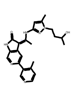 C/C(Nc1cc(C)n(CCC(C)O)n1)=C1/C(=O)Nc2cnc(-c3cnccc3C)cc21